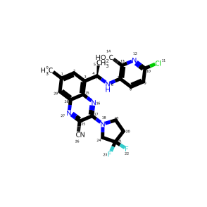 Cc1cc([C@@H](C)Nc2ccc(Cl)nc2C(=O)O)c2nc(N3CCC(F)(F)C3)c(C#N)nc2c1